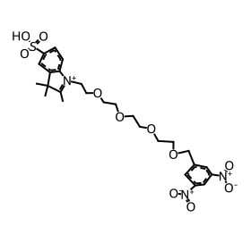 CC1=[N+](CCOCCOCCOCCOCc2cc([N+](=O)[O-])cc([N+](=O)[O-])c2)c2ccc(S(=O)(=O)O)cc2C1(C)C